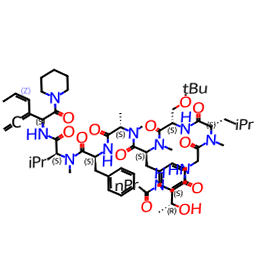 C=C=C(/C=C\C)[C@H](NC(=O)[C@H](C(C)C)N(C)C(=O)[C@H](Cc1ccccc1)NC(=O)[C@H](C)N(C)C(=O)[C@H](Cc1ccccc1)N(C)C(=O)[C@H](COC(C)(C)C)NC(=O)[C@H](CC(C)C)N(C)C(=O)CNC(=O)[C@@H](NC(=O)CCC)[C@@H](C)O)C(=O)N1CCCCC1